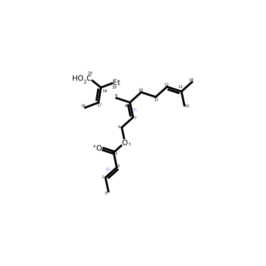 C/C=C/C(=O)OC/C=C(\C)CCC=C(C)C.CC=C(CC)C(=O)O